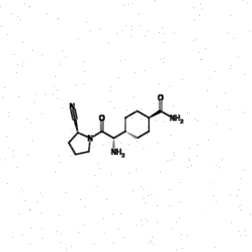 N#C[C@@H]1CCCN1C(=O)[C@@H](N)[C@H]1CC[C@H](C(N)=O)CC1